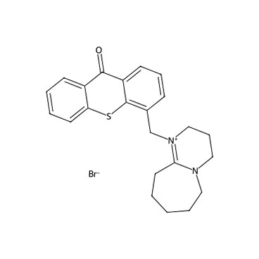 O=c1c2ccccc2sc2c(C[N+]3=C4CCCCCN4CCC3)cccc12.[Br-]